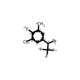 Cc1cc(C(Br)C(F)(F)F)cc(Cl)c1F